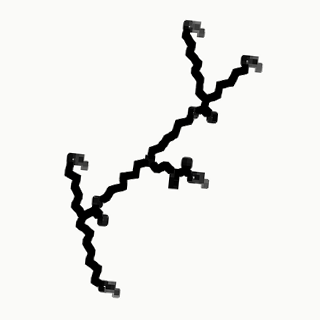 CCCCCCCCC(CCCCCC)C(=O)OCCCCCCN(CCCCCCOC(=O)C(CCCCCC)CCCCCCCC)CCNC(C)=O